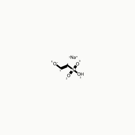 O=S(=O)(O)C=C[O-].[Na+]